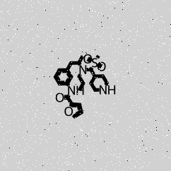 CCCN(C(C)Cc1cccc(NC(=O)c2ccco2)c1)C(C1CCNCC1)S(C)(=O)=O